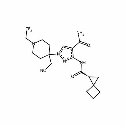 N#CCC1(n2cc(C(N)=O)c(NC(=O)[C@H]3CC34CCC4)n2)CCN(CC(F)(F)F)CC1